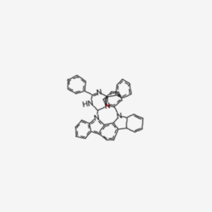 C1=CC2c3ccc4c5ccccc5n(C5N=C(c6ccccc6)N=C(c6ccccc6)N5)c4c3N(c3ccccc3)C2C=C1